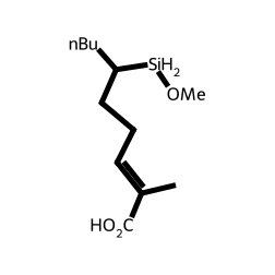 CCCCC(CCC=C(C)C(=O)O)[SiH2]OC